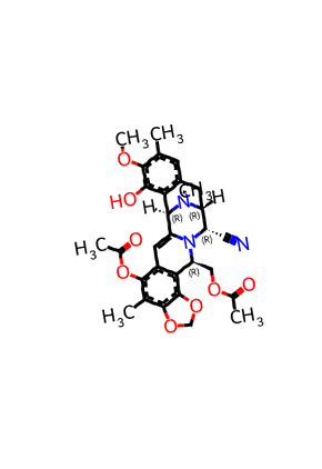 COc1c(C)cc2c(c1O)[C@@H]1C3=Cc4c(OC(C)=O)c(C)c5c(c4[C@H](COC(C)=O)N3[C@@H](C#N)[C@@H](C2)N1C)OCO5